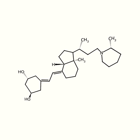 C[C@H](CCN1CCCC[C@H]1C)C1CC[C@H]2/C(=C/C=C3C[C@@H](O)C[C@H](O)C3)CCC[C@]12C